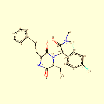 CC(C)C[C@@H]1C(=O)NC(CCc2ccccc2)C(=O)N1C(C(=O)N(C)C)c1ccc(F)cc1F